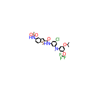 CC(C)Oc1cc(OC(F)(F)F)cc(N(C)c2cc(Cl)cc(NC(=O)c3cc4cc(NS(C)(=O)=O)ccc4s3)c2)c1